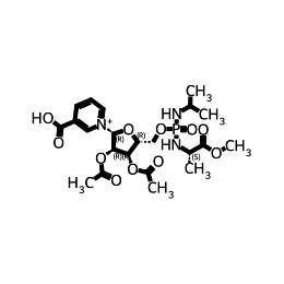 COC(=O)[C@H](C)NP(=O)(NC(C)C)OC[C@H]1O[C@@H]([n+]2cccc(C(=O)O)c2)[C@H](OC(C)=O)[C@@H]1OC(C)=O